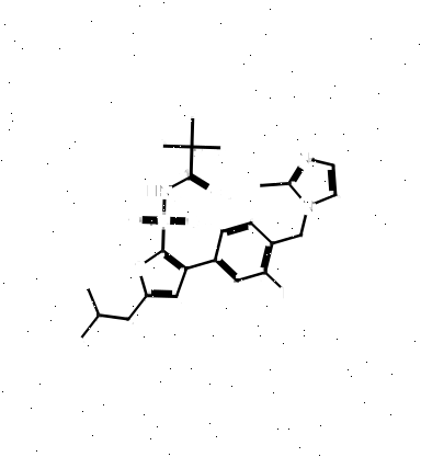 Cc1nccn1Cc1ccc(-c2cc(CC(C)C)sc2S(=O)(=O)NC(=O)C(C)(C)C)cc1F